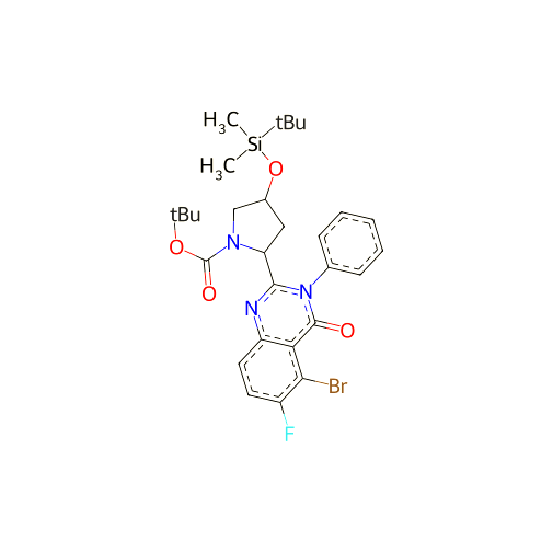 CC(C)(C)OC(=O)N1CC(O[Si](C)(C)C(C)(C)C)CC1c1nc2ccc(F)c(Br)c2c(=O)n1-c1ccccc1